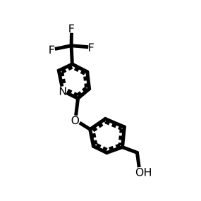 OCc1ccc(Oc2ccc(C(F)(F)F)cn2)cc1